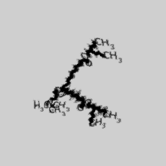 CCCCC(CCCC)CCOC(=O)CCCCCCCCCC1(CCCCCCCC(=O)OCCC(CCCC)CCCC)OCC(CCN(C)C(C)C)O1